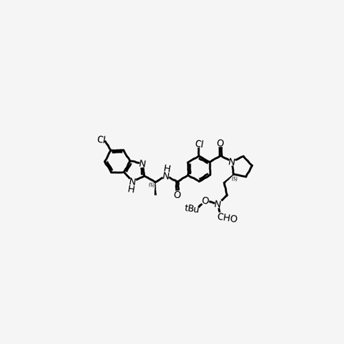 C[C@H](NC(=O)c1ccc(C(=O)N2CCC[C@H]2CCN(C=O)OC(C)(C)C)c(Cl)c1)c1nc2cc(Cl)ccc2[nH]1